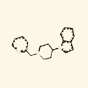 c1ccc(CN2CCC(n3ccc4ccccc43)CC2)nc1